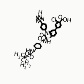 CC(C)(C)OC(=O)NC[C@H]1CC[C@H](C(=O)N[C@@H](Cc2ccc(-c3ccc(C(=O)O)c(Cl)c3)cc2)C(=O)Nc2ccc(-c3nn[nH]n3)cc2)CC1